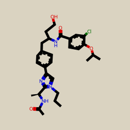 CCCn1cc(-c2ccc(CC(CCO)NC(=O)c3ccc(OC(C)C)c(Cl)c3)cc2)nc1[C@H](C)NC(C)=O